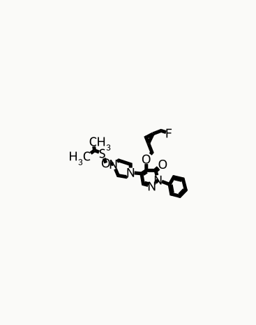 CC(C)SON1CCN(c2cnn(-c3ccccc3)c(=O)c2OCC2CC2CF)CC1